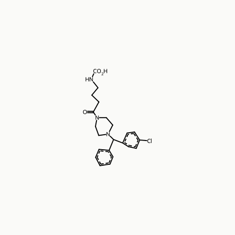 O=C(O)NCCCC(=O)N1CCN(C(c2ccccc2)c2ccc(Cl)cc2)CC1